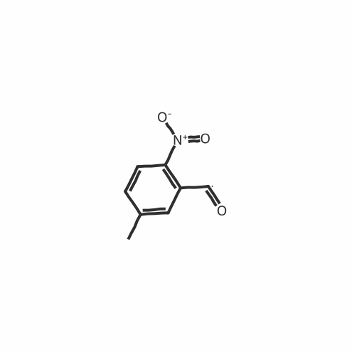 Cc1ccc([N+](=O)[O-])c([C]=O)c1